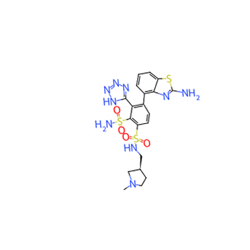 CN1CC[C@H](CNS(=O)(=O)c2ccc(-c3cccc4sc(N)nc34)c(-c3nnn[nH]3)c2S(N)(=O)=O)C1